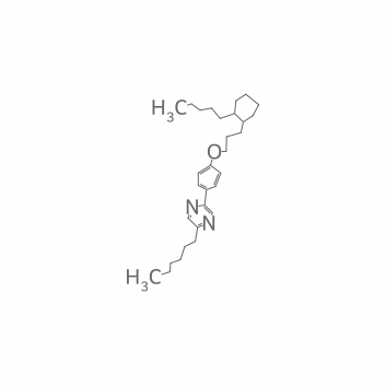 CCCCCCc1cnc(-c2ccc(OCCCC3CCCCC3CCCCC)cc2)cn1